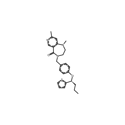 CCC[C@H](Oc1ccc(CN2CCN(C)c3cc(C)ncc3C2=O)cc1)c1cccs1